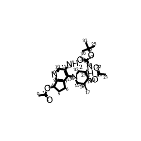 CC(=O)OC1CCc2c1ncc(N)c2N1C[C@H](C)[C@@H](OC(C)=O)[C@H](NC(=O)OC(C)(C)C)C1